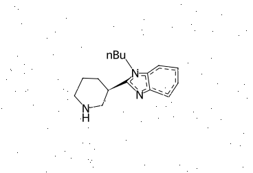 CCCCn1c([C@@H]2CCCNC2)nc2ccccc21